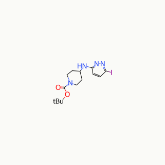 CC(C)(C)OC(=O)N1CCC(Nc2ccc(I)nn2)CC1